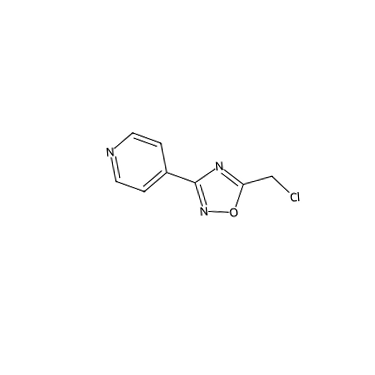 ClCc1nc(-c2ccncc2)no1